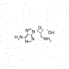 NC[C@H]1[C@H](n2cnc3c(N)ncnc32)O[C@@H]1CO